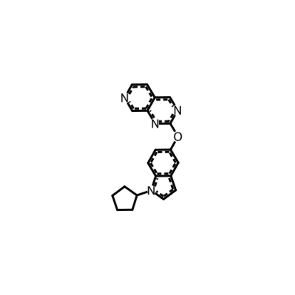 c1cc2cnc(Oc3ccc4c(ccn4C4CCCC4)c3)nc2cn1